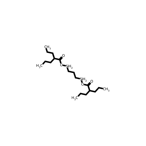 CCCC(CCC)C(=O)O[SiH2]CCC[SiH2]OC(=O)C(CCC)CCC